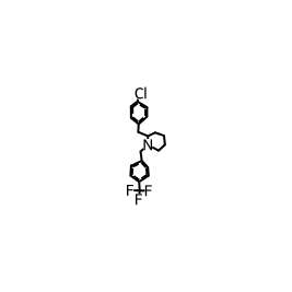 FC(F)(F)c1ccc(CN2CCCCC2Cc2ccc(Cl)cc2)cc1